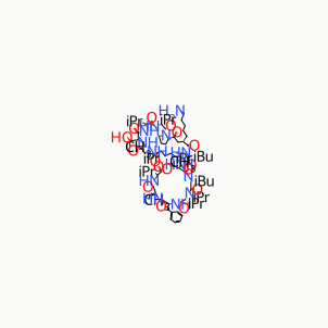 C/C=C1\NC(=O)[C@H](Cc2ccccc2)NC(=O)[C@@H](C(C)C)N(C(C)C)C(=O)[C@@H]([C@@H](C)CC)NC(=O)[C@H](NC(=O)[C@H](NC(=O)[C@H](CCCCCN)CC(=O)[C@H]2CCCN2C(=O)[C@H](NC(=O)[C@@H](NC(=O)[C@@H](NC(=O)[C@H](NC(=O)CCCC(C)C)C(C)C)[C@@H](C)O)C(C)C)C(C)C)[C@@H](C)CC)[C@H](C)OC(=O)[C@H](C(C)C)NC1=O